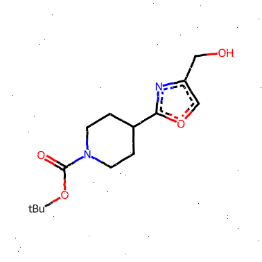 CC(C)(C)OC(=O)N1CCC(c2nc(CO)co2)CC1